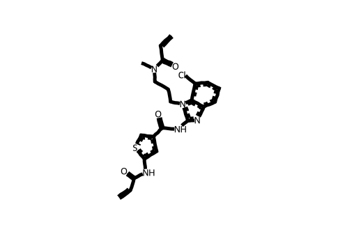 C=CC(=O)Nc1cc(C(=O)Nc2nc3cccc(Cl)c3n2CCCN(C)C(=O)C=C)cs1